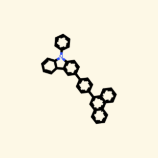 C1=CC2c3cc(-c4ccc(-c5cc6ccccc6c6ccccc56)cc4)ccc3N(c3ccccc3)C2C=C1